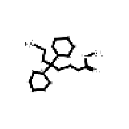 CCCC(CCCC(=O)O[SiH3])(C1CCCCC1)C1CCCCC1